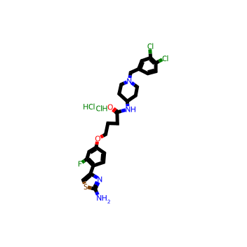 Cl.Cl.Nc1nc(-c2ccc(OCCCC(=O)NC3CCN(Cc4ccc(Cl)c(Cl)c4)CC3)cc2F)cs1